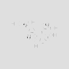 CON=C(C)c1ccc(OCc2c(C)cccc2C2(C(=O)O)C=CC(C)=C(C(=O)O)C2)c([N+](=O)[O-])c1